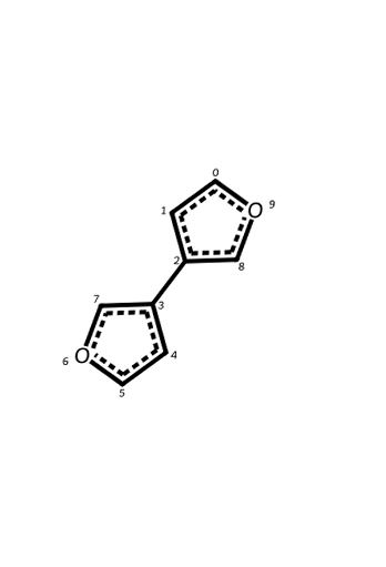 c1cc(-c2ccoc2)co1